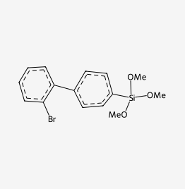 CO[Si](OC)(OC)c1ccc(-c2ccccc2Br)cc1